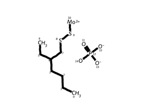 CCCCC(CC)CS[S][Mo+3].O=P([O-])([O-])[O-]